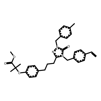 C=Cc1ccc(Cn2c(CCCc3ccc(OC(C)(C)C(=O)OC)cc3)nn(Cc3ccc(C)cc3)c2=O)cc1